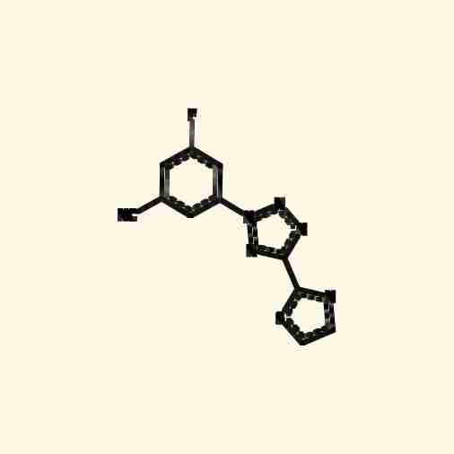 N#Cc1cc(F)cc(-n2nnc(-c3nccs3)n2)c1